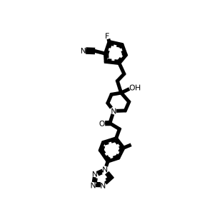 Cc1cc(-n2cnnn2)ccc1CC(=O)N1CCC(O)(CCc2ccc(F)c(C#N)c2)CC1